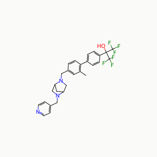 Cc1cc(CN2CC3CC2CN3Cc2ccncc2)ccc1-c1ccc(C(O)(C(F)(F)F)C(F)(F)F)cc1